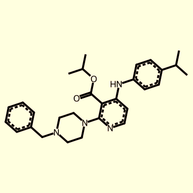 CC(C)OC(=O)c1c(Nc2ccc(C(C)C)cc2)ccnc1N1CCN(Cc2ccccc2)CC1